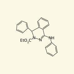 CCOC(=O)N1N=C(Nc2ccccc2)c2ccccc2C1c1ccccc1